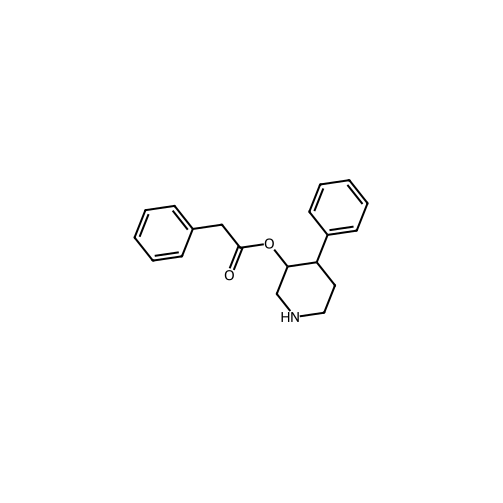 O=C(Cc1ccccc1)OC1CNCCC1c1ccccc1